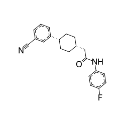 N#Cc1cccc([C@H]2CC[C@@H](CC(=O)Nc3ccc(F)cc3)CC2)c1